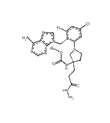 CCc1cc(Cl)cc(N2CCC(CCC(=O)NN)(NC(=O)OC(C)(C)C)C2)c1Cn1cnc2c(N)ncnc21